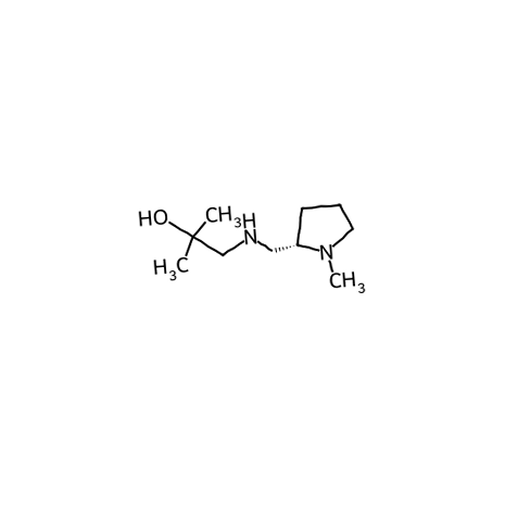 CN1CCC[C@H]1CNCC(C)(C)O